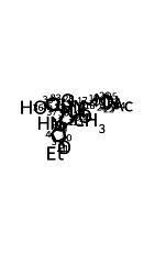 CCOc1ccc2[nH]c3c(c2c1)CC1(C)C(=O)N(CCCN2CCN(C(C)=O)CC2)C(=O)N1C3c1cccc(O)c1